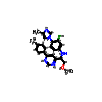 Cc1cn(-c2ccc(NC(COC=O)c3cc(-c4ccc(C(F)(F)F)cc4)ncn3)cc2F)cn1